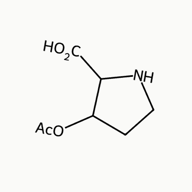 CC(=O)OC1CCNC1C(=O)O